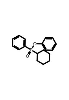 O=P(Oc1ccccc1)(c1ccccc1)C1CCCCC1